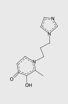 Cc1c(O)c(=O)ccn1CCCn1ccnc1